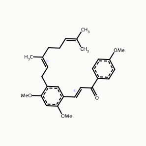 COc1ccc(C(=O)/C=C/c2cc(C/C=C(\C)CCC=C(C)C)c(OC)cc2OC)cc1